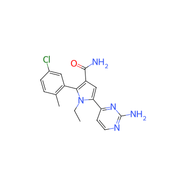 CCn1c(-c2ccnc(N)n2)cc(C(N)=O)c1-c1cc(Cl)ccc1C